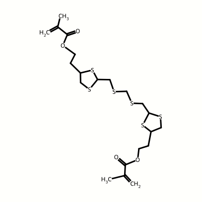 C=C(C)C(=O)OCCC1CSC(CSCSCC2SCC(CCOC(=O)C(=C)C)S2)S1